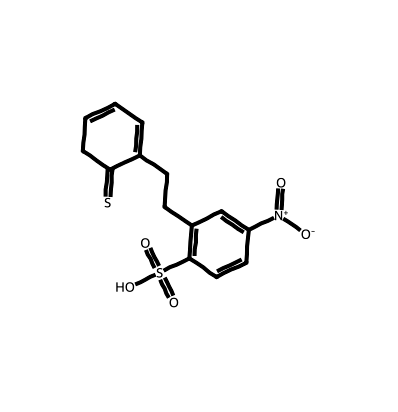 O=[N+]([O-])c1ccc(S(=O)(=O)O)c(CCC2=CC=CCC2=S)c1